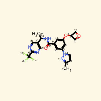 Cc1ccn(-c2cc(OC3COC3)cc(C(=O)NC(C)c3cnc(C(F)(F)F)nc3)c2)n1